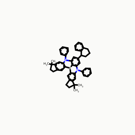 CC1(C)CCc2cc3c(cc21)N(c1ccccc1)c1cc(C2CCCc4ccccc42)cc2c1B3c1cc3c(cc1N2c1ccccc1)C(C)(C)CC3